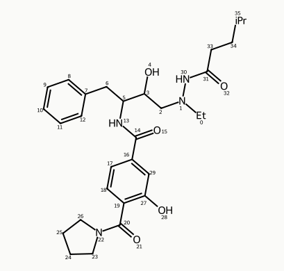 CCN(CC(O)C(Cc1ccccc1)NC(=O)c1ccc(C(=O)N2CCCC2)c(O)c1)NC(=O)CCC(C)C